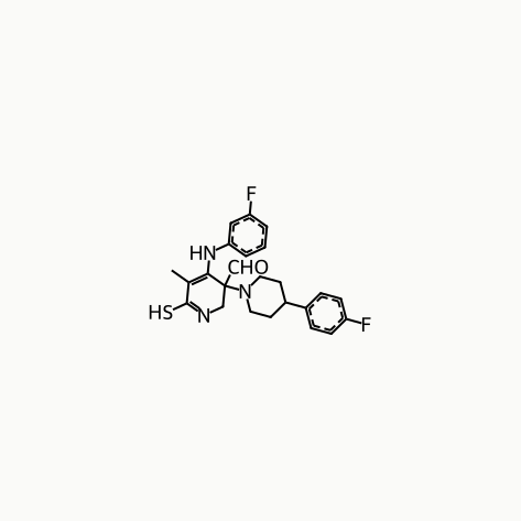 CC1=C(Nc2cccc(F)c2)C(C=O)(N2CCC(c3ccc(F)cc3)CC2)CN=C1S